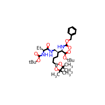 CC[C@H](NC(=O)OC(C)(C)C)C(=O)NC[C@H](CCCB1OC(C)(C)C(C)(C)O1)[C@H](NC(=O)OCc1ccccc1)C(=O)OC(C)(C)C